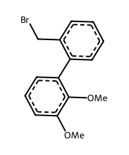 COc1cccc(-c2ccccc2CBr)c1OC